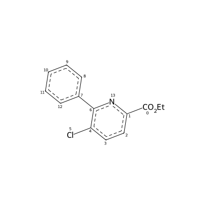 CCOC(=O)c1ccc(Cl)c(-c2ccccc2)n1